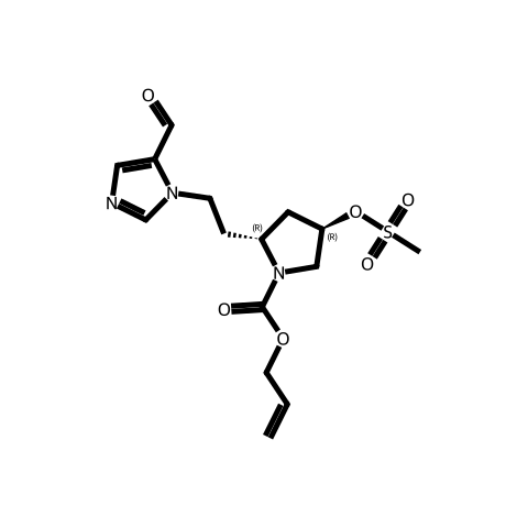 C=CCOC(=O)N1C[C@H](OS(C)(=O)=O)C[C@H]1CCn1cncc1C=O